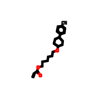 C=CC(=O)OCCCCCCOC1CCC(c2ccc(C#N)cc2)CC1